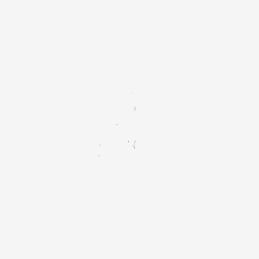 O=C1CC(c2cccs2)=Nc2c1ccc1ccccc21